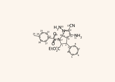 CCOC(=O)C1C(c2ccccc2)c2c(N)c(C#N)n(N)c2N1S(=O)(=O)c1ccc(C)cc1